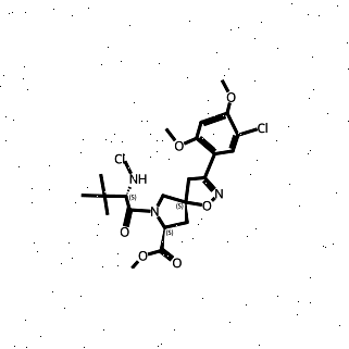 COC(=O)[C@@H]1C[C@]2(CC(c3cc(Cl)c(OC)cc3OC)=NO2)CN1C(=O)[C@@H](NCl)C(C)(C)C